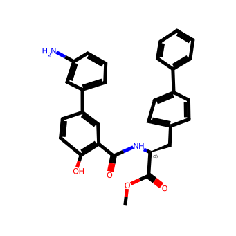 COC(=O)[C@H](Cc1ccc(-c2ccccc2)cc1)NC(=O)c1cc(-c2cccc(N)c2)ccc1O